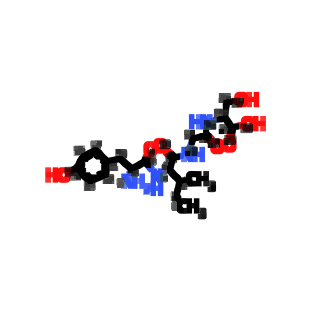 CC[C@H](C)[C@H](NC(=O)[C@@H](N)Cc1ccc(O)cc1)C(=O)NCC(=O)N[C@@H](CO)C(=O)O